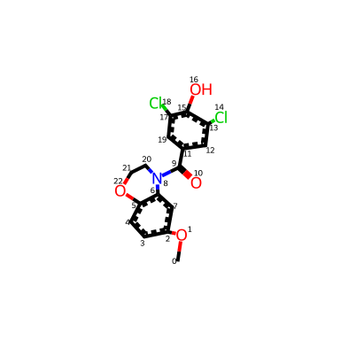 COc1ccc2c(c1)N(C(=O)c1cc(Cl)c(O)c(Cl)c1)CCO2